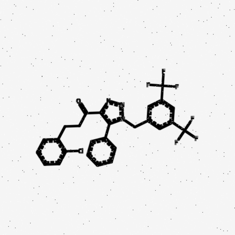 O=C(CCc1ccccc1Cl)c1nnn(Cc2cc(C(F)(F)F)cc(C(F)(F)F)c2)c1-c1ccccc1